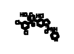 Cl.O=C(O)CN(c1ccc2c(c1)CCN2C(=O)Nc1ccncc1)S(=O)(=O)c1cc(Cl)cc(Cl)c1